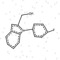 OCc1cc2ccccc2n1-c1ccc(F)cc1